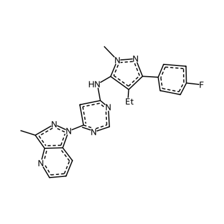 CCc1c(-c2ccc(F)cc2)nn(C)c1Nc1cc(-n2nc(C)c3ncccc32)ncn1